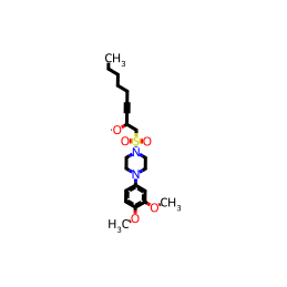 CCCCCC#CC([O])CS(=O)(=O)N1CCN(c2ccc(OC)c(OC)c2)CC1